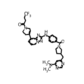 CN(C)c1cc(CC2CCN(C(=O)c3ccc(Nc4nc5c(C6=CCN(C(=O)CCC(F)(F)F)CC6)cccn5n4)cc3)C2)ncn1